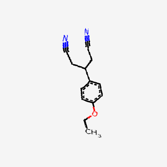 CCOc1ccc(C(CC#N)CC#N)cc1